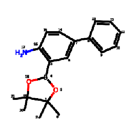 CC1(C)OB(c2cc(-c3ccccc3)ccc2N)OC1(C)C